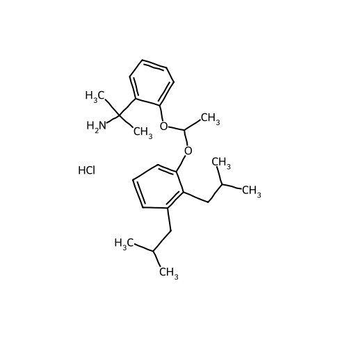 CC(C)Cc1cccc(OC(C)Oc2ccccc2C(C)(C)N)c1CC(C)C.Cl